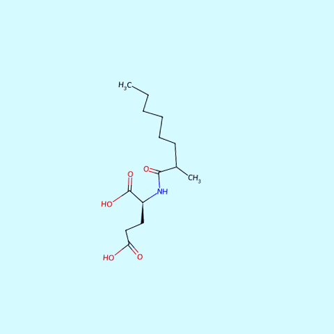 CCCCCCC(C)C(=O)N[C@@H](CCC(=O)O)C(=O)O